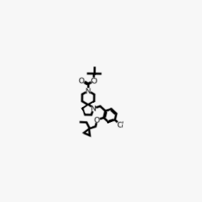 CCC1(COc2cc(Cl)ccc2CN2CCCC23CCN(C(=O)OC(C)(C)C)CC3)CC1